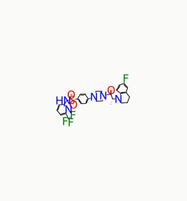 C[C@H](C(=O)N1CCN(c2ccc(S(=O)(=O)Nc3cccc(C(F)(F)F)n3)cc2)CC1)N1CCCc2cc(F)ccc21